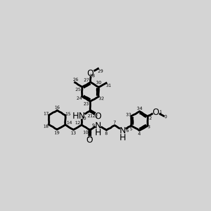 COc1ccc(NCCNC(=O)C(CC2CCCCC2)NC(=O)c2cc(C)c(OC)c(C)c2)cc1